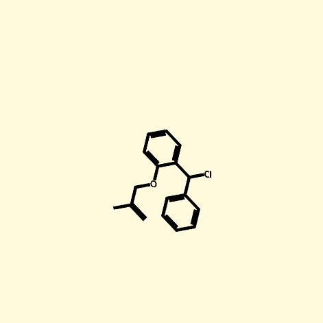 C=C(C)COc1ccccc1C(Cl)c1ccccc1